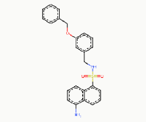 Nc1cccc2c(S(=O)(=O)NCc3cccc(OCc4ccccc4)c3)cccc12